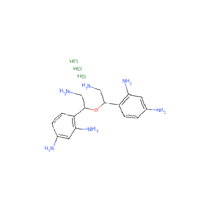 Cl.Cl.Cl.NCC(OC(CN)c1ccc(N)cc1N)c1ccc(N)cc1N